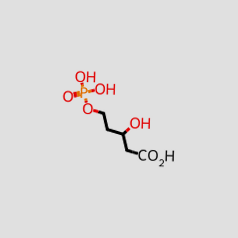 O=C(O)CC(O)CCOP(=O)(O)O